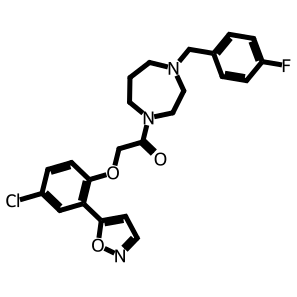 O=C(COc1ccc(Cl)cc1-c1ccno1)N1CCCN(Cc2ccc(F)cc2)CC1